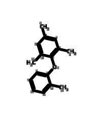 Cc1cc(C)c(Oc2ccccc2C)c(C)c1